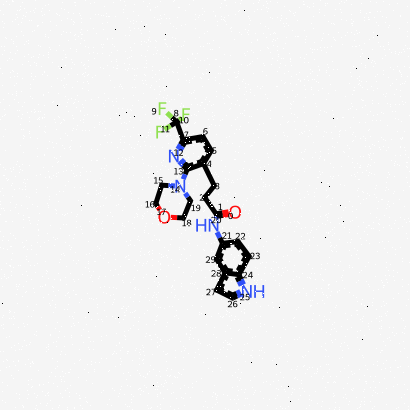 O=C(CCc1ccc(C(F)(F)F)nc1N1CCOCC1)Nc1ccc2[nH]ccc2c1